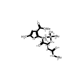 COC(=O)c1cc(C)sc1NC(=O)[C@H](CC(=O)OC(C)(C)C)O[Si](C)(C)C(C)(C)C